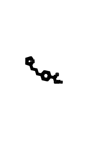 COC(=O)c1ccc(CCCc2cccs2)cc1